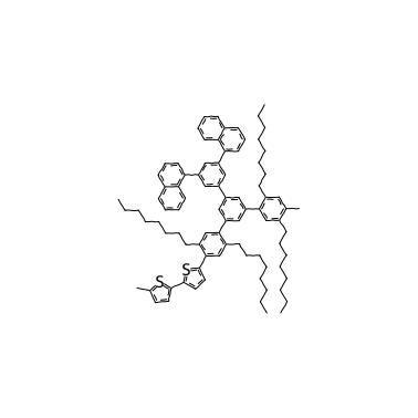 CCCCCCCCc1cc(-c2cc(-c3cc(-c4cccc5ccccc45)cc(-c4cccc5ccccc45)c3)cc(-c3cc(CCCCCCCC)c(-c4ccc(-c5ccc(C)s5)s4)cc3CCCCCCCC)c2)c(CCCCCCCC)cc1C